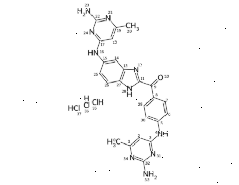 Cc1cc(Nc2ccc(C(=O)c3nc4cc(Nc5cc(C)nc(N)n5)ccc4[nH]3)cc2)nc(N)n1.Cl.Cl.Cl